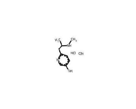 CNC(C)Cc1ccc(O)cn1.Cl.Cl